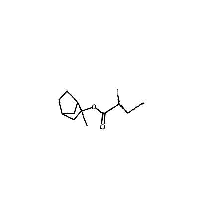 CCC(I)C(=O)OC1(C)CC2CCC1C2